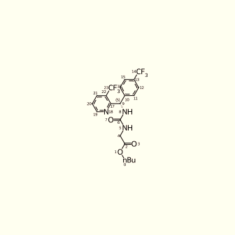 CCCCOC(=O)CNC(=O)N[C@@H](c1ccc(C(F)(F)F)cc1)c1ncccc1C(F)(F)F